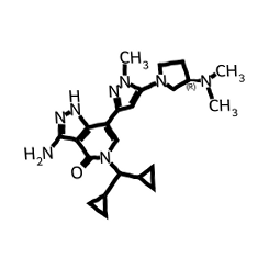 CN(C)[C@@H]1CCN(c2cc(-c3cn(C(C4CC4)C4CC4)c(=O)c4c(N)n[nH]c34)nn2C)C1